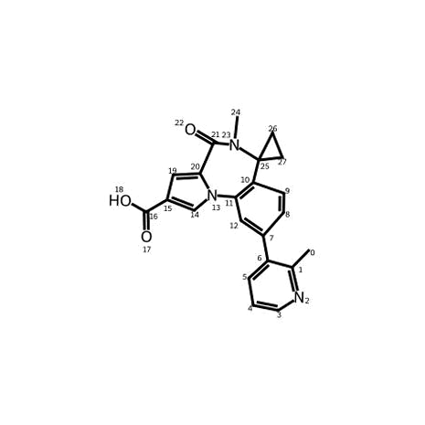 Cc1ncccc1-c1ccc2c(c1)-n1cc(C(=O)O)cc1C(=O)N(C)C21CC1